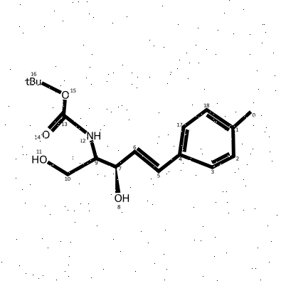 Cc1ccc(/C=C/[C@@H](O)C(CO)NC(=O)OC(C)(C)C)cc1